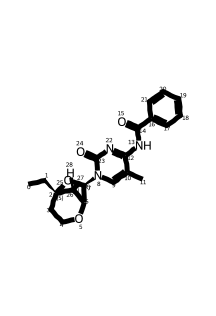 CC[C@@]12CCOC([C@H](n3cc(C)c(NC(=O)c4ccccc4)nc3=O)O1)[C@H]2C